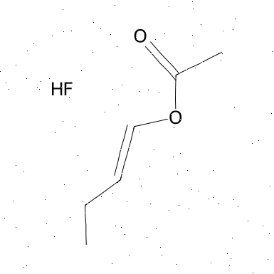 CCC=COC(C)=O.F